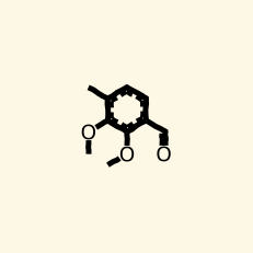 COc1c(C)ccc(C=O)c1OC